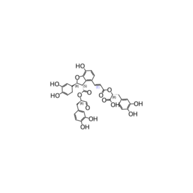 O=C[C@@H](Cc1ccc(O)c(O)c1)OC(=O)[C@H]1c2c(/C=C/C(=O)O[C@H](Cc3ccc(O)c(O)c3)C(=O)O)ccc(O)c2O[C@@H]1C1C=C(O)C(O)=CC1